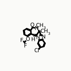 CN1C(=O)c2cccc(OC(F)F)c2[C@H]2C[C@]1(C)c1nc3ccc(Cl)cc3n12